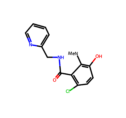 CNc1c(O)ccc(Cl)c1C(=O)NCc1ccccn1